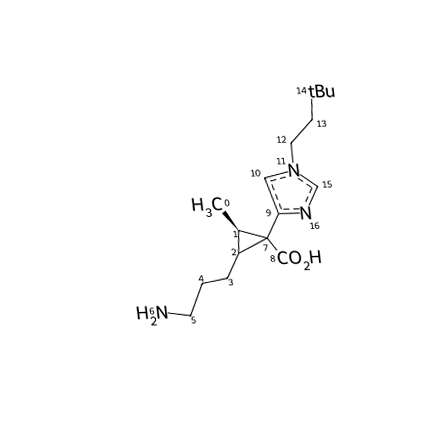 C[C@@H]1C(CCCN)C1(C(=O)O)c1cn(CCC(C)(C)C)cn1